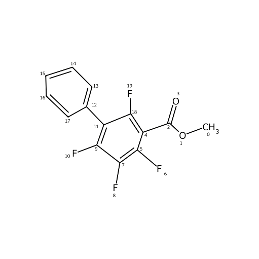 COC(=O)c1c(F)c(F)c(F)c(-c2ccccc2)c1F